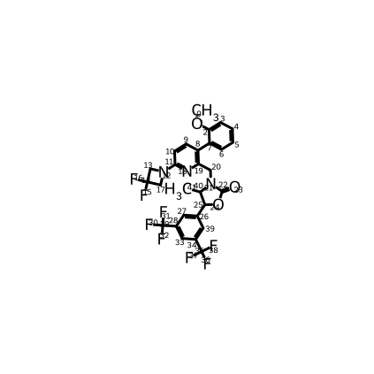 COc1ccccc1-c1ccc(N2CC(F)(F)C2)nc1CN1C(=O)OC(c2cc(C(F)(F)F)cc(C(F)(F)F)c2)C1C